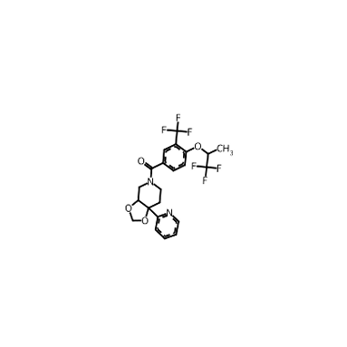 CC(Oc1ccc(C(=O)N2CCC3(c4ccccn4)OCOC3C2)cc1C(F)(F)F)C(F)(F)F